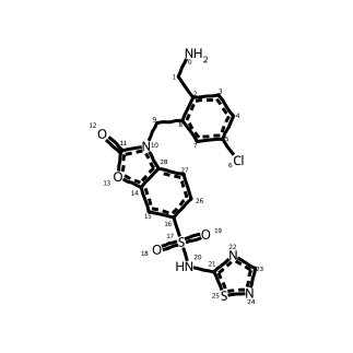 NCc1ccc(Cl)cc1Cn1c(=O)oc2cc(S(=O)(=O)Nc3ncns3)ccc21